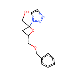 OCC1(n2ccnn2)CC(COCc2ccccc2)O1